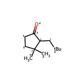 CC(C)(C)CC1C(=O)CCC1(C)C